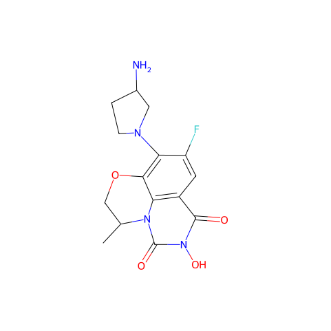 CC1COc2c(N3CCC(N)C3)c(F)cc3c(=O)n(O)c(=O)n1c23